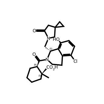 C[C@]1(C(=O)O)CCCC[C@H]1C(=O)N1CCc2c(Cl)ccc(O)c2[C@H]1CN1CC2(CC2)CC1=O